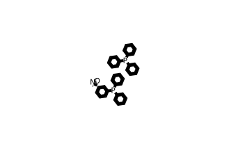 [C]=O.[Ni].c1ccc(P(c2ccccc2)c2ccccc2)cc1.c1ccc(P(c2ccccc2)c2ccccc2)cc1